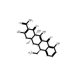 CC[C@@H]1c2cccc(O)c2C(=O)C2=C(O)[C@]3(O)C(=O)C(C(N)=O)=C(O)C[C@@H]3CC21